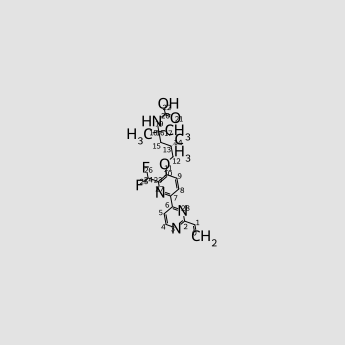 C=Cc1nccc(-c2ccc(OC[C@@H](C)CC(C)(C)NC(=O)O)c(C(F)F)n2)n1